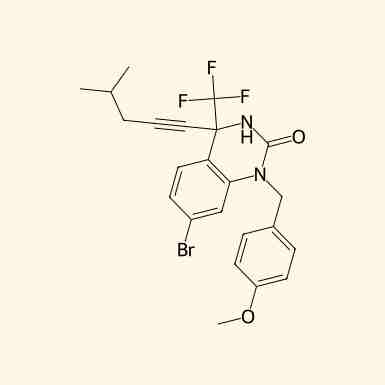 COc1ccc(CN2C(=O)NC(C#CCC(C)C)(C(F)(F)F)c3ccc(Br)cc32)cc1